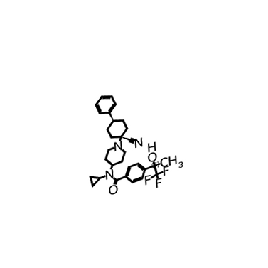 C[C@](O)(c1ccc(C(=O)N(C2CC2)C2CCN([C@]3(C#N)CC[C@@H](c4ccccc4)CC3)CC2)cc1)C(F)(F)F